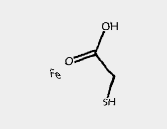 O=C(O)CS.[Fe]